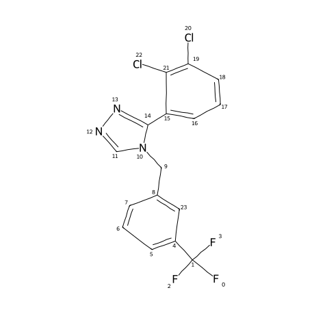 FC(F)(F)c1cccc(Cn2cnnc2-c2cccc(Cl)c2Cl)c1